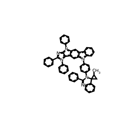 CC1CC1(c1ccccc1)N(C(=N)c1ccccc1)c1ccc(-n2c3ccccc3c3cc4c(cc32)c2c(nc(-c3ccccc3)n2-c2ccccc2)n4-c2ccccc2)cc1